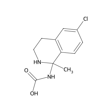 CC1(NC(=O)O)NCCc2cc(Cl)ccc21